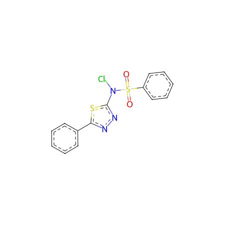 O=S(=O)(c1ccccc1)N(Cl)c1nnc(-c2ccccc2)s1